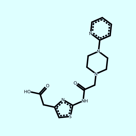 O=C(O)Cc1csc(NC(=O)CN2CCN(c3ccccn3)CC2)n1